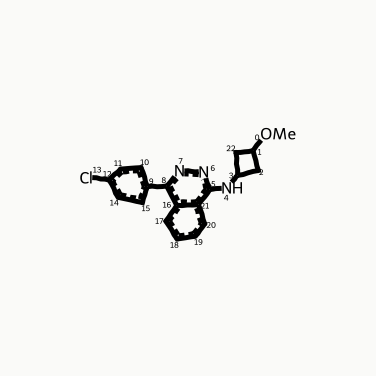 COC1CC(Nc2nnc(-c3ccc(Cl)cc3)c3ccccc23)C1